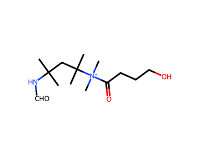 CC(C)(CC(C)(C)[N+](C)(C)C(=O)CCCO)NC=O